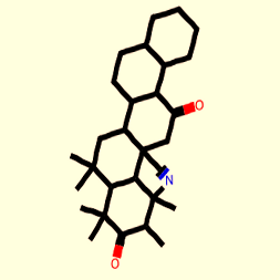 CC1C(=O)C(C)(C)C2C(C1(C)C)C1(C#N)CC(=O)C3C4CCCCC4CCC3C1CC2(C)C